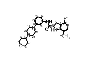 Cc1ccc(F)c2c1NC(C(=O)Nc1cccc(N3CCN(C4CCOCC4)CC3)c1)C2